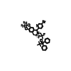 [2H]C1([2H])Oc2cc3c(cc2O1)[C@@H](c1ccc(Br)cn1)N(CC(F)(F)CO[Si](c1ccccc1)(c1ccccc1)C(C)(C)C)[C@H](C)C3